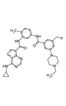 CCN1CCN(c2cc(CF)cc(C(=O)Nc3ccc(C)c(NC(=O)c4csc5c(NC6CC6)ncnc45)c3)c2)CC1